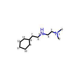 CN(C)CCNCCC1CCCCC1